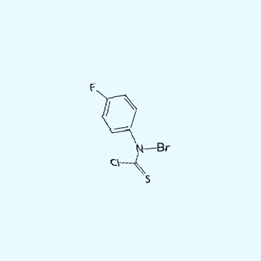 Fc1ccc(N(Br)C(=S)Cl)cc1